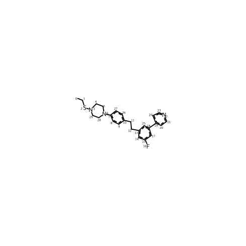 CCSN1CCN(c2ccc(CCc3cc(F)cc(-c4ccncc4)c3)cc2)CC1